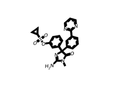 CN1C(=O)C(c2cccc(OS(=O)(=O)C3CC3)c2)(c2cccc(-c3ncccn3)c2)N=C1N